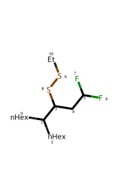 CCCCCCC(CCCCCC)C(CC(F)F)SSCC